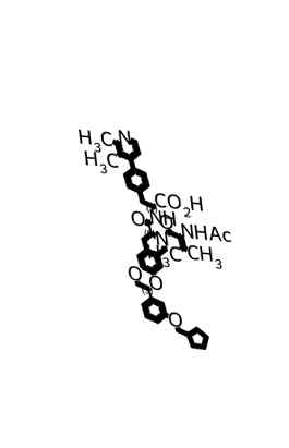 CC(=O)NC(C(=O)N1Cc2cc3c(cc2C[C@H]1C(=O)N[C@@H](Cc1ccc(-c2ccnc(C)c2C)cc1)C(=O)O)OC[C@H](c1cccc(OCC2CCCC2)c1)O3)=C(C)C